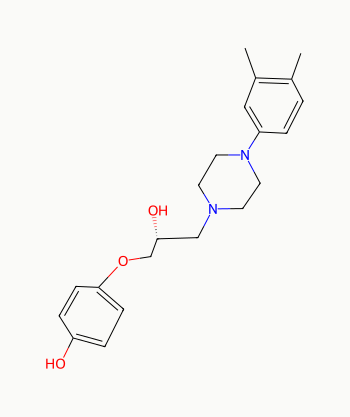 Cc1ccc(N2CCN(C[C@@H](O)COc3ccc(O)cc3)CC2)cc1C